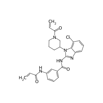 C=CC(=O)Nc1cccc(C(=O)Nc2nc3cccc(Cl)c3n2C2CCCN(C(=O)C=C)C2)c1